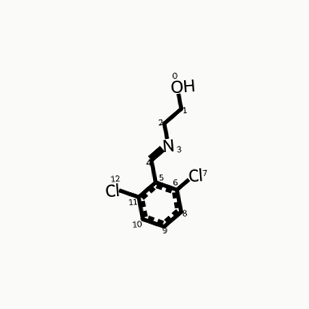 OCCN=Cc1c(Cl)cccc1Cl